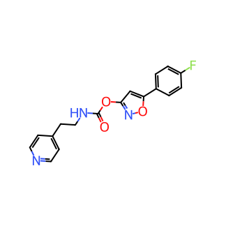 O=C(NCCc1ccncc1)Oc1cc(-c2ccc(F)cc2)on1